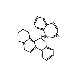 C1=Cc2ccccc2NC=N1.c1ccc2c(c1)CCc1c-2ccc2c1CCCC2